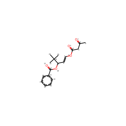 CC(=O)CC(=O)OC=CC(OC(=O)c1ccccc1)C(C)(C)C